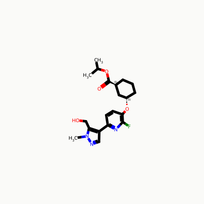 CC(C)OC(=O)[C@H]1CCC[C@H](Oc2ccc(-c3cnn(C)c3CO)nc2F)C1